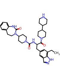 CCc1cc(CC(NC(=O)N2CCC(N3CCc4ccccc4NC3=O)CC2)C(=O)N2CCC(C3CCNCC3)CC2)cc2cn[nH]c12